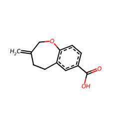 C=C1CCc2cc(C(=O)O)ccc2OC1